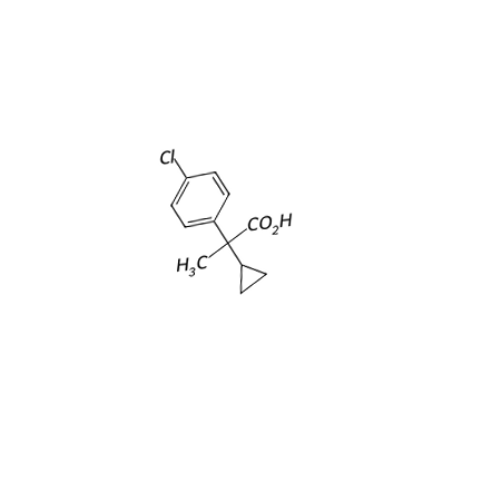 CC(C(=O)O)(c1ccc(Cl)cc1)C1CC1